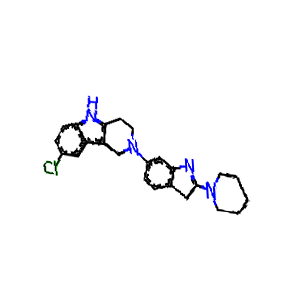 Clc1ccc2[nH]c3c(c2c1)CN(c1ccc2c(c1)N=C(N1CCCCC1)C2)CC3